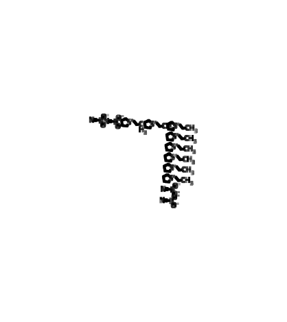 CCC[S+]1CCCC1.CCC[S+]1CCCC1.CCC[S+]1CCCC1.CCC[S+]1CCCC1.CCC[S+]1CCCC1.CCC[S+]1CCCC1.CCC[S+]1CCCC1.CCC[S+]1CCCC1.N#CB([O-])[O-].N#CB([O-])[O-].N#CB([O-])[O-].N#CB([O-])[O-]